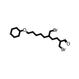 O=[C]C(CBr)CCC(CBr)CCCCCOC1CC[CH]CC1